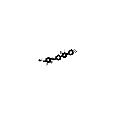 CCOCc1ccc(/C=C/C2CCC(c3ccc(C4CCC(OC)CC4)c(F)c3F)CC2)c(F)c1F